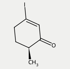 C[C@H]1CCC(I)=CC1=O